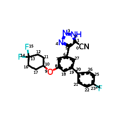 N#Cc1[nH]nnc1-c1cc(OC2CCC(F)(F)CC2)cc(-c2ccc(F)cc2)c1